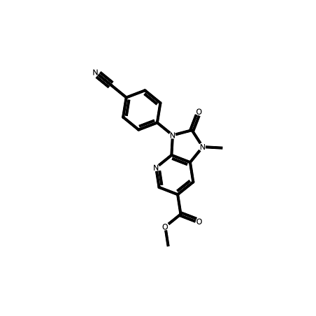 COC(=O)c1cnc2c(c1)n(C)c(=O)n2-c1ccc(C#N)cc1